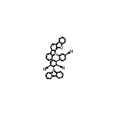 N#Cc1ccc(-c2ccc(C#N)c(-n3c4ccccc4c4ccccc43)c2C#N)c(-n2c3ccccc3c3ccc4c5ccccc5oc4c32)c1